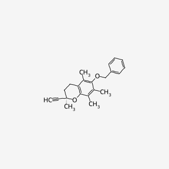 C#C[C@@]1(C)CCc2c(C)c(OCc3ccccc3)c(C)c(C)c2O1